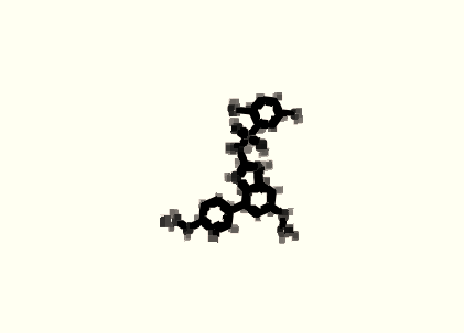 COc1cc(-c2ccc(OC)nc2)c2oc(NS(=O)(=O)c3cc(Cl)ccc3Cl)nc2c1